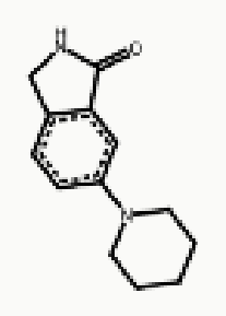 O=C1NCc2ccc(N3CCCCC3)cc21